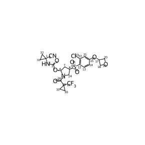 N#CC1(NC(=O)O[C@H]2C[C@@H](S(=O)(=O)c3ccc(OC4COC4)cc3Cl)CN2C(=O)C2(C(F)(F)F)CC2)CC1